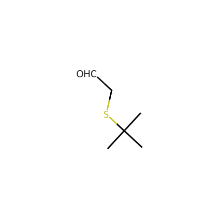 CC(C)(C)SCC=O